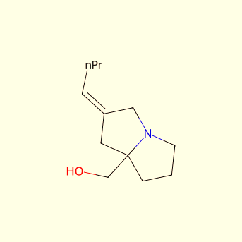 CCCC=C1CN2CCCC2(CO)C1